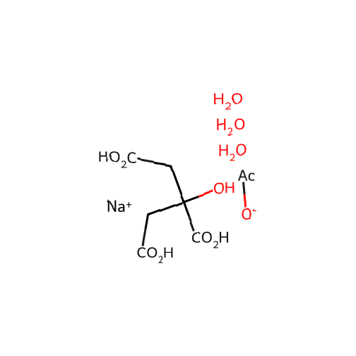 CC(=O)[O-].O.O.O.O=C(O)CC(O)(CC(=O)O)C(=O)O.[Na+]